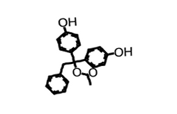 CC(=O)OC(Cc1ccccc1)(c1ccc(O)cc1)c1ccc(O)cc1